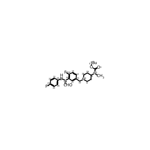 CN(C(=O)OC(C)(C)C)C1CCN(Cc2ccc(F)c(N(C=O)Nc3ccc(F)cc3)c2)CC1